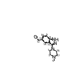 CN1CCN(c2n[nH]c3ccc(C=O)cc23)CC1